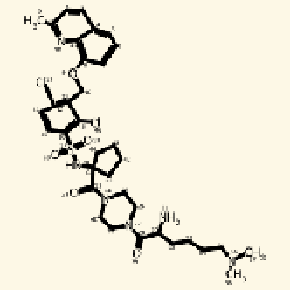 Cc1ccc2cccc(OCc3c(Cl)ccc(S(=O)(=O)NC4(C(=O)N5CCN(C(=O)C(N)CCCCN(C)C)CC5)CCCC4)c3Cl)c2n1